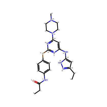 CCC(=O)Nc1ccc(Sc2nc(Nc3cc(CC)n[nH]3)cc(N3CCN(C)CC3)n2)cc1